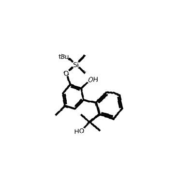 Cc1cc(O[Si](C)(C)C(C)(C)C)c(O)c(-c2ccccc2C(C)(C)O)c1